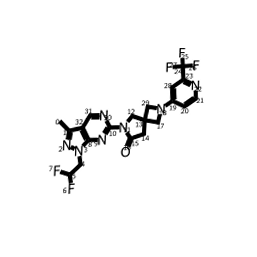 Cc1nn(CC(F)F)c2nc(N3CC4(CC3=O)CN(c3ccnc(C(F)(F)F)c3)C4)ncc12